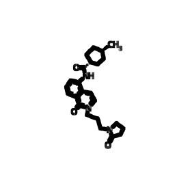 C[C@H]1CC[C@H](C(=O)Nc2cccc3c(=O)n(CCCN4CCCC4=O)ccc23)CC1